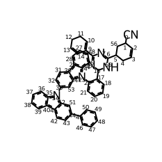 N#CC1C=CCC(C2=NC(C3=CCCC=C3)=NC(c3ccccc3-n3c4ccccc4c4ccc(-n5c6ccccc6c6ccc(-c7ccccc7)cc65)cc43)N2)C1